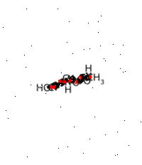 CNC(=O)n1ccc2cc(Oc3ccnc(NC(=O)c4ccc(C5CCN(CCO)CC5)cc4)c3)ccc21